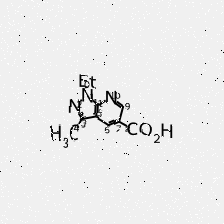 CCn1nc(C)c2cc(C(=O)O)cnc21